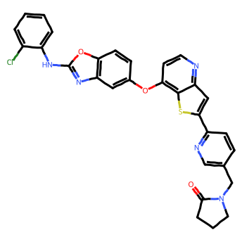 O=C1CCCN1Cc1ccc(-c2cc3nccc(Oc4ccc5oc(Nc6ccccc6Cl)nc5c4)c3s2)nc1